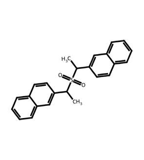 CC(c1ccc2ccccc2c1)S(=O)(=O)C(C)c1ccc2ccccc2c1